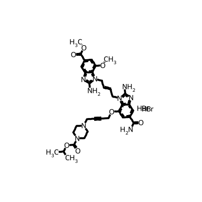 Br.Br.COC(=O)c1cc(OC)c2c(c1)nc(N)n2C/C=C/Cn1c(N)nc2cc(C(N)=O)cc(OCC#CCN3CCN(C(=O)OC(C)C)CC3)c21